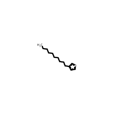 CCCCCCCCCCc1c[c]sc1